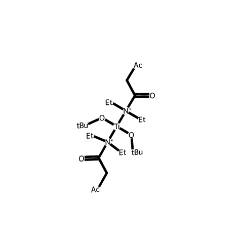 CC[N+](CC)(C(=O)CC(C)=O)[Ti]([O]C(C)(C)C)([O]C(C)(C)C)[N+](CC)(CC)C(=O)CC(C)=O